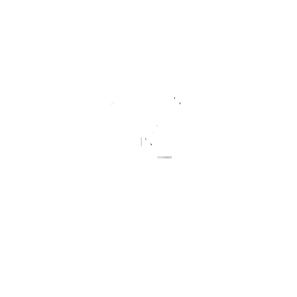 O=C(N[C@]1(c2ccccc2)CCCNC1)C1CCCCCC1